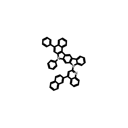 c1ccc(-c2cc3c(c4ccccc24)c2cc4c5ccccc5n(-c5cc(-c6ccc7ccccc7c6)c6ccccc6n5)c4cc2n3-c2ccccc2)cc1